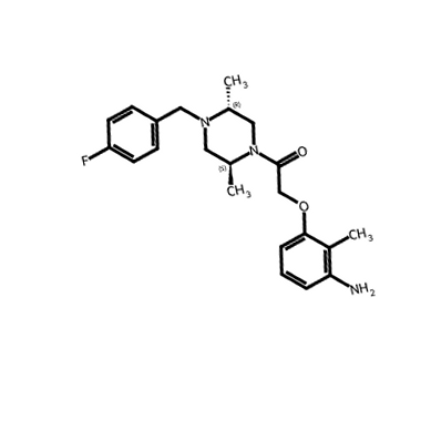 Cc1c(N)cccc1OCC(=O)N1C[C@@H](C)N(Cc2ccc(F)cc2)C[C@@H]1C